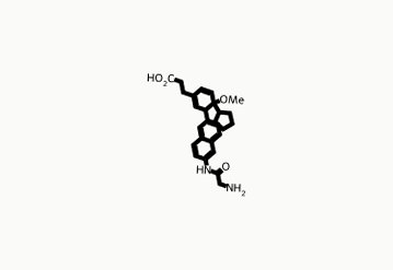 COC1(C2CCCC2)C=CC(CCC(=O)O)=CC1c1ccc2cc(NC(=O)CN)ccc2c1